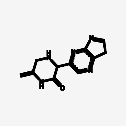 C=C1CNC(c2cnc3c(n2)N=CC3)C(=O)N1